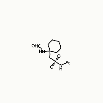 CCNS(=O)(=O)CC1(NC=O)CCCCC1